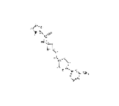 Cc1cccc(N2CCN(CCC3CC(NC(=O)c4nccs4)C3)CC2)c1